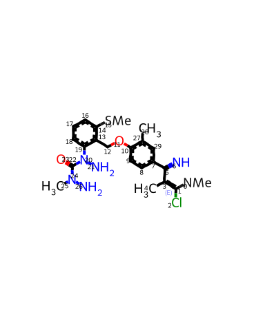 CN/C(Cl)=C(/C)C(=N)c1ccc(OCc2c(SC)cccc2N(N)C(=O)N(C)N)c(C)c1